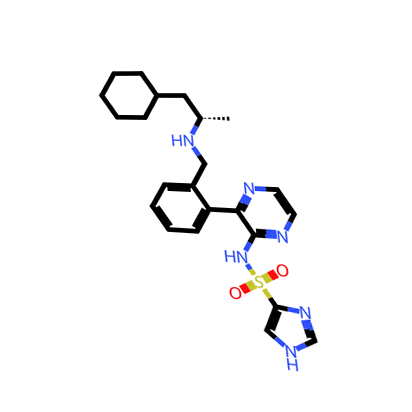 C[C@@H](CC1CCCCC1)NCc1ccccc1-c1nccnc1NS(=O)(=O)c1c[nH]cn1